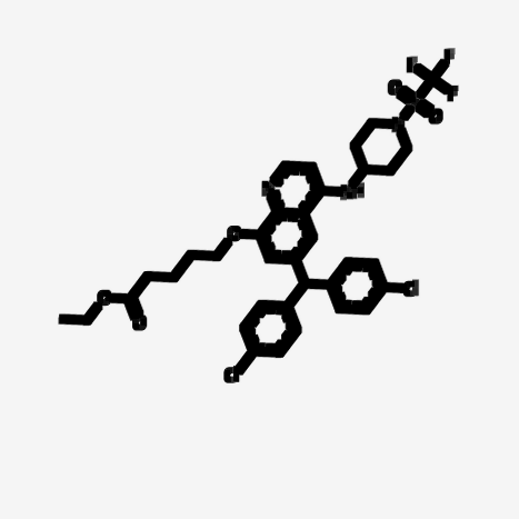 CCOC(=O)CCCCOc1cc(C(c2ccc(Cl)cc2)c2ccc(Cl)cc2)cc2c(NC3CCN(S(=O)(=O)C(F)(F)F)CC3)ccnc12